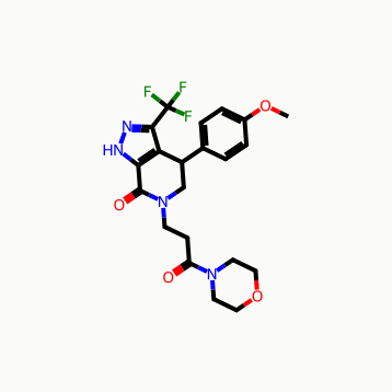 COc1ccc(C2CN(CCC(=O)N3CCOCC3)C(=O)c3[nH]nc(C(F)(F)F)c32)cc1